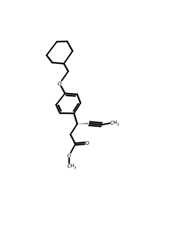 CC#C[C@H](CC(=O)OC)c1ccc(OCC2CCCCC2)cc1